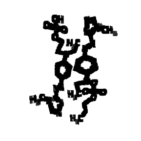 CCCOS(=O)(=O)ON(CC)c1ccc(N=Nc2snc[n+]2C)cc1.CCN(CCOS(=O)(=O)O)c1ccc(N=Nc2snc[n+]2C)cc1